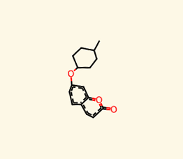 CC1CCC(Oc2ccc3ccc(=O)oc3c2)CC1